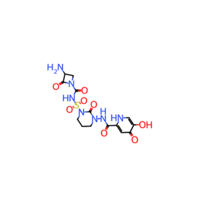 NC1CN(C(=O)NS(=O)(=O)N2CCCN(NC(=O)c3cc(=O)c(O)c[nH]3)C2=O)C1=O